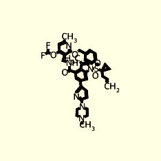 C=CCC1(S(=O)(=O)n2cc(C)c3c(C(=O)NCc4c(OC(F)F)cc(C)nc4OCc4ccccc4)cc(-c4ccc(N5CCN(C)CC5)nc4)cc32)CC1